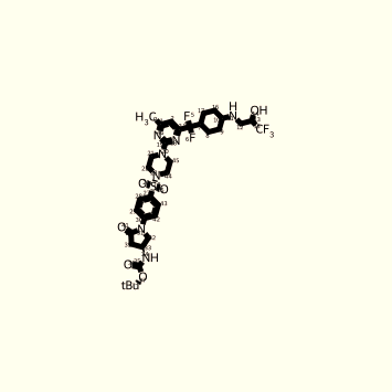 Cc1cc(C(F)(F)C2CCC(NCC(O)C(F)(F)F)CC2)nc(N2CCN(S(=O)(=O)c3ccc(N4C[C@H](NC(=O)OC(C)(C)C)CC4=O)cc3)CC2)n1